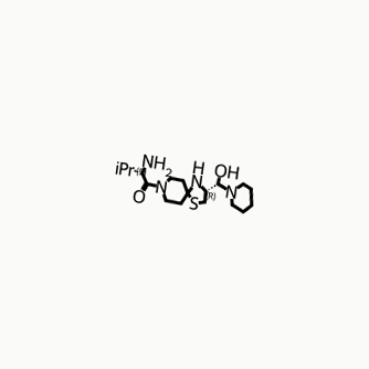 CC(C)[C@H](N)C(=O)N1CCC2(CC1)N[C@H](C(O)N1CCCCC1)CS2